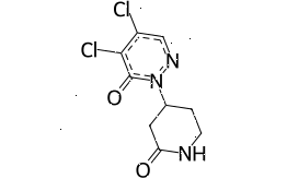 O=C1CC(n2ncc(Cl)c(Cl)c2=O)CCN1